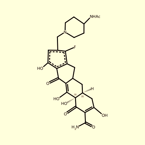 CC(=O)NC1CCN(Cc2cc(O)c3c(c2F)CC2C[C@H]4CC(O)=C(C(N)=O)C(=O)[C@@]4(O)C(O)=C2C3=O)CC1